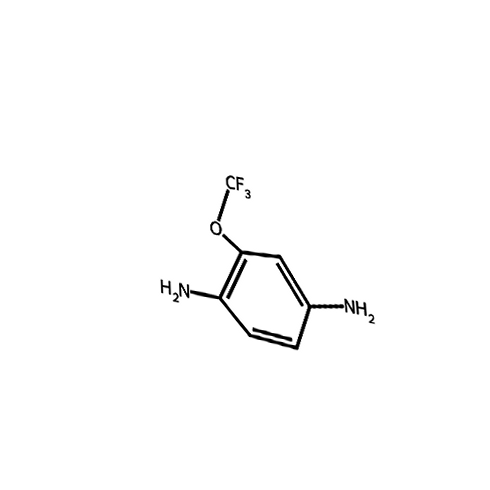 Nc1ccc(N)c(OC(F)(F)F)c1